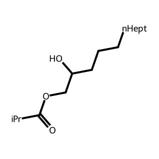 CCCCCCCCCCC(O)COC(=O)C(C)C